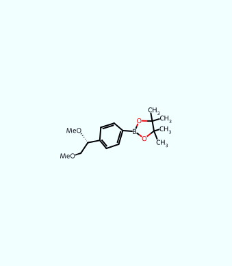 COC[C@H](OC)c1ccc(B2OC(C)(C)C(C)(C)O2)cc1